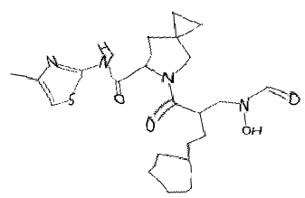 Cc1csc(NC(=O)C2CC3(CC3)CN2C(=O)C(CC2CCCC2)CN(O)C=O)n1